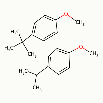 COc1ccc(C(C)(C)C)cc1.COc1ccc(C(C)C)cc1